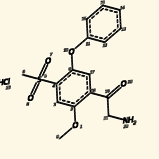 COc1cc(S(C)(=O)=O)c(Oc2ccccc2)cc1C(=O)CN.Cl